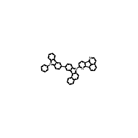 c1ccc(-n2c3ccccc3c3cc(-c4ccc5c(c4)c4c6ccccc6ccc4n5-c4ccc5c(n4)-c4cccc6ccnc-5c46)ccc32)cc1